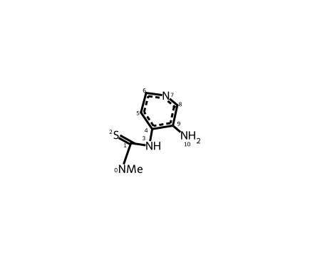 CNC(=S)Nc1ccncc1N